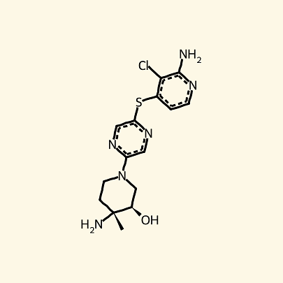 C[C@@]1(N)CCN(c2cnc(Sc3ccnc(N)c3Cl)cn2)C[C@H]1O